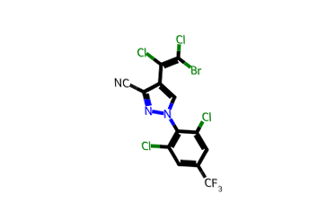 N#Cc1nn(-c2c(Cl)cc(C(F)(F)F)cc2Cl)cc1C(Cl)=C(Cl)Br